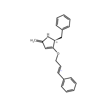 C=C1C=C(OC/C=C/c2ccccc2)[C@H](Cc2ccccc2)N1